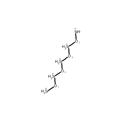 [SiH]O[SiH2]O[SiH2]O[SiH2]O[SiH3]